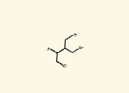 CCC(C)C(CO)C(CO)CC(C)C